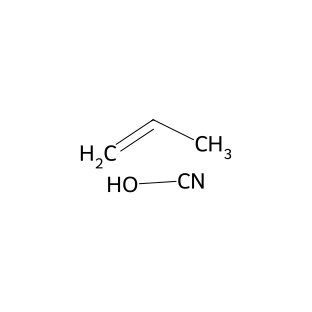 C=CC.N#CO